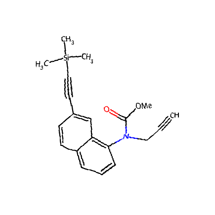 C#CCN(C(=O)OC)c1cccc2ccc(C#C[Si](C)(C)C)cc12